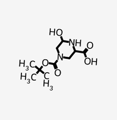 CC(C)(C)OC(=O)N1CC(O)NC(C(=O)O)C1